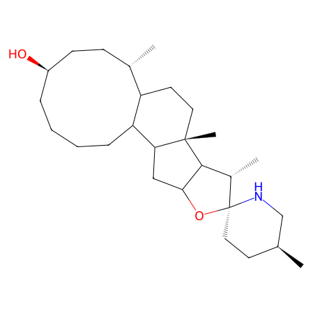 C[C@H]1CC[C@]2(NC1)OC1CC3C4CCCC[C@@H](O)CC[C@H](C)C4CC[C@]3(C)C1[C@@H]2C